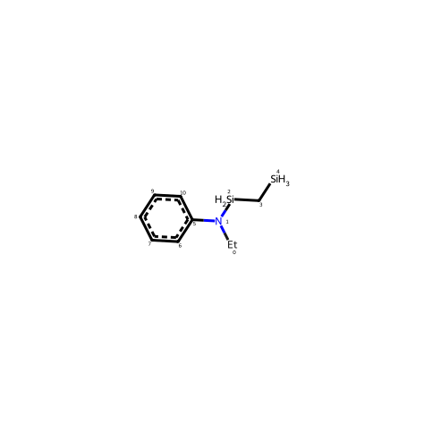 CCN([SiH2]C[SiH3])c1ccccc1